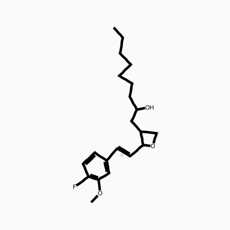 CCCCCCCC(O)CC1COC1/C=C/c1ccc(F)c(OC)c1